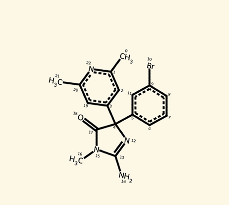 Cc1cc(C2(c3cccc(Br)c3)N=C(N)N(C)C2=O)cc(C)n1